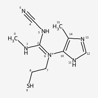 CNC(NC#N)=[N+](CCS)c1[nH]cnc1C